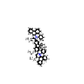 CCCC(c1cc2c(cc1C)-c1cc3c(cc1C2(C)C)C3(CC)N(c1ccccc1)c1cc2ccccc2c2ccccc12)N(c1ccccc1)c1cc2ccccc2c2ccccc12